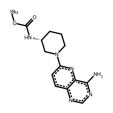 CC(C)(C)OC(=O)N[C@@H]1CCCN(c2ccc3ncnc(N)c3n2)C1